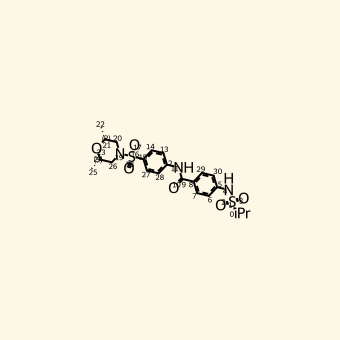 CC(C)S(=O)(=O)Nc1ccc(C(=O)Nc2ccc(S(=O)(=O)N3C[C@@H](C)O[C@@H](C)C3)cc2)cc1